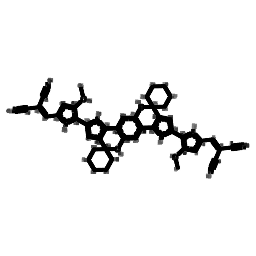 COc1cc(C=C(C#N)C#N)sc1-c1cc2c(s1)-c1cc3c(cc1OC21CCCCC1)-c1sc(-c2sc(C=C(C#N)C#N)cc2OC)cc1C1(CCCCC1)O3